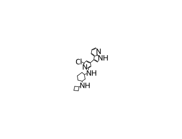 Clc1cc(-c2c[nH]c3ncccc23)cc(NC2CCCC(NC3CCC3)C2)n1